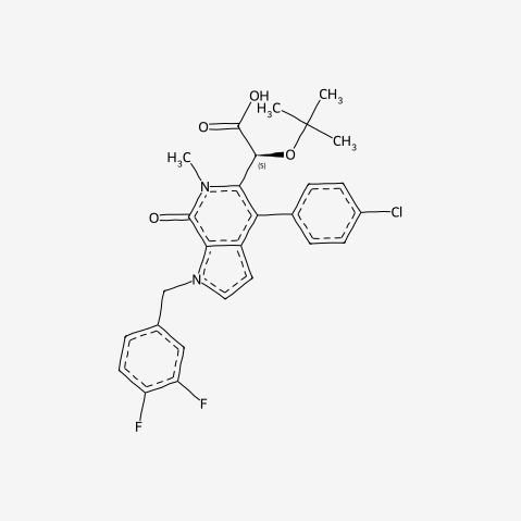 Cn1c([C@H](OC(C)(C)C)C(=O)O)c(-c2ccc(Cl)cc2)c2ccn(Cc3ccc(F)c(F)c3)c2c1=O